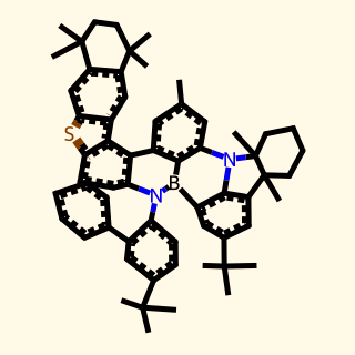 Cc1cc2c3c(c1)N1c4c(cc(C(C)(C)C)cc4C4(C)CCCCC14C)B3N(c1ccc(C(C)(C)C)cc1-c1ccccc1)c1ccc3sc4cc5c(cc4c3c1-2)C(C)(C)CCC5(C)C